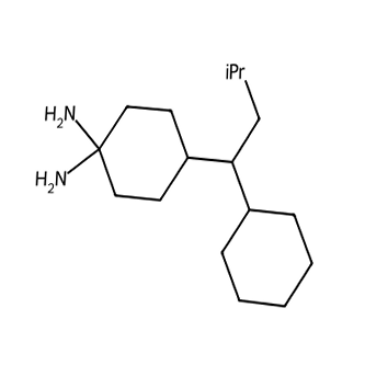 CC(C)CC(C1CCCCC1)C1CCC(N)(N)CC1